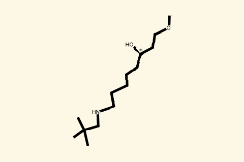 [CH2]OCC[C@H](O)CCCCCNCC(C)(C)C